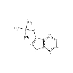 CC(C)(C)CC1=CCc2ncccc21